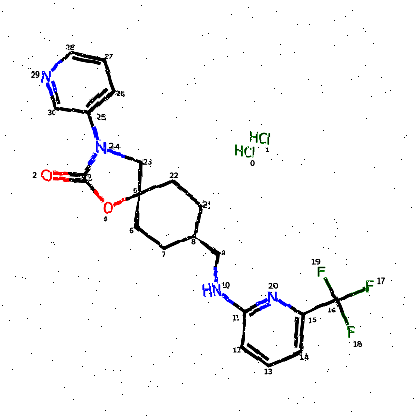 Cl.Cl.O=C1O[C@]2(CC[C@H](CNc3cccc(C(F)(F)F)n3)CC2)CN1c1cccnc1